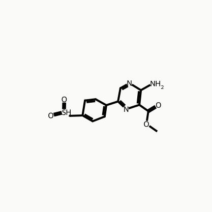 COC(=O)c1nc(-c2ccc(C[SH](=O)=O)cc2)cnc1N